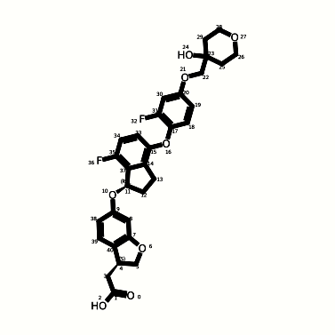 O=C(O)C[C@@H]1COc2cc(O[C@@H]3CCc4c(Oc5ccc(OCC6(O)CCOCC6)cc5F)ccc(F)c43)ccc21